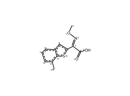 CO/N=C(/C(=O)O)c1cc2cccc(F)c2s1